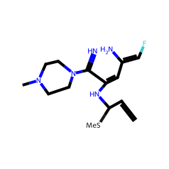 C=CC(N/C(=C/C(N)=C/F)C(=N)N1CCN(C)CC1)SC